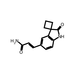 NC(=O)C=Cc1ccc2c(c1)C1(CCC1)C(=O)N2